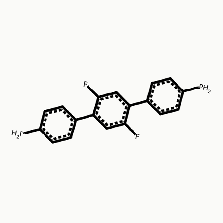 Fc1cc(-c2ccc(P)cc2)c(F)cc1-c1ccc(P)cc1